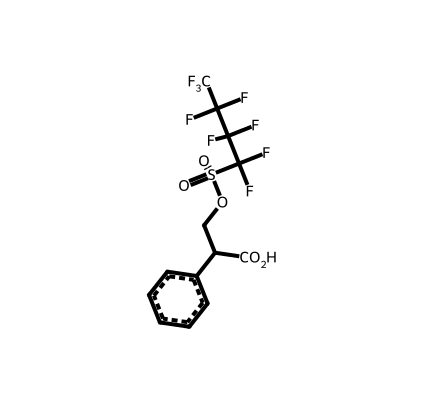 O=C(O)C(COS(=O)(=O)C(F)(F)C(F)(F)C(F)(F)C(F)(F)F)c1ccccc1